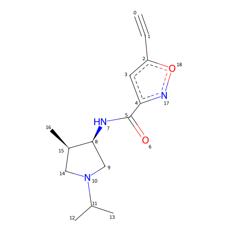 C#Cc1cc(C(=O)N[C@H]2CN(C(C)C)C[C@H]2C)no1